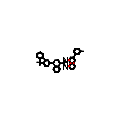 Cc1cccc(-c2ccc(/C=N\C(=N/Cc3ccccc3)C3=CCC(c4ccc5c(c4)-c4ccccc4C5(C)C)c4ccccc43)cc2)c1